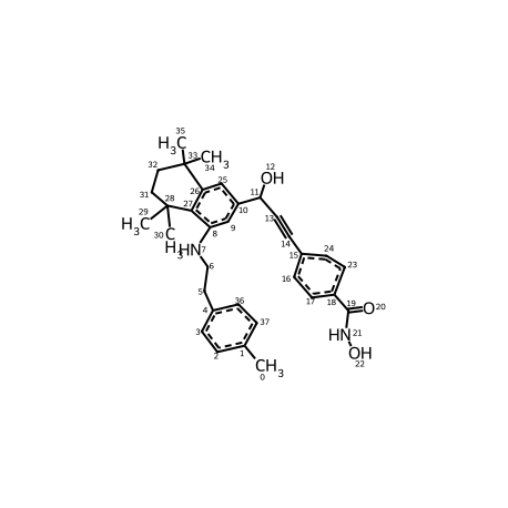 Cc1ccc(CCNc2cc(C(O)C#Cc3ccc(C(=O)NO)cc3)cc3c2C(C)(C)CCC3(C)C)cc1